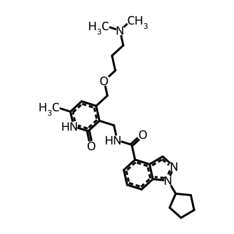 Cc1cc(COCCCN(C)C)c(CNC(=O)c2cccc3c2cnn3C2CCCC2)c(=O)[nH]1